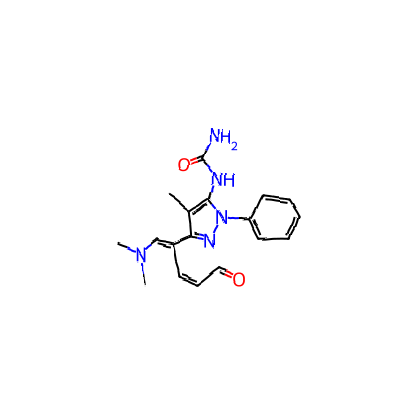 Cc1c(C(/C=C\C=O)=C/N(C)C)nn(-c2ccccc2)c1NC(N)=O